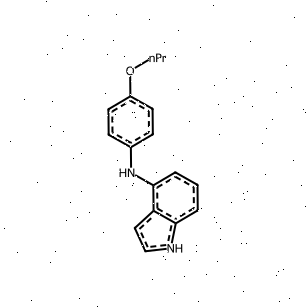 CCCOc1ccc(Nc2cccc3[nH]ccc23)cc1